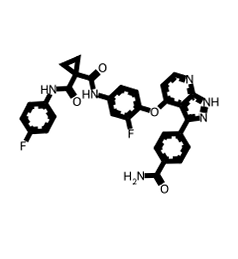 NC(=O)c1ccc(-c2n[nH]c3nccc(Oc4ccc(NC(=O)C5(C(=O)Nc6ccc(F)cc6)CC5)cc4F)c23)cc1